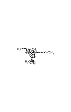 CCC/C=C\CC(=O)N[C@@H](COC[C@H](O)[C@H](CO)OC(C)(C)C)[C@H](OC(C)(C)C)[C@H](O)CCCCCCCCCCCCCC